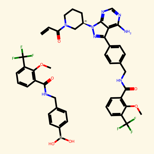 C=CC(=O)N1CCC[C@@H](n2nc(-c3ccc(CNC(=O)c4cccc(C(F)(F)F)c4OC)cc3)c3c(N)ncnc32)C1.COc1c(C(=O)NCc2ccc(B(O)O)cc2)cccc1C(F)(F)F